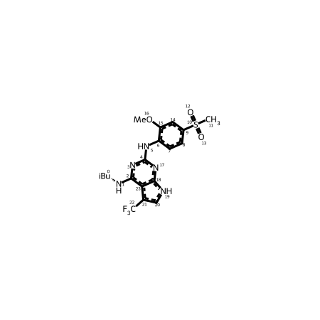 CC[C@@H](C)Nc1nc(Nc2ccc(S(C)(=O)=O)cc2OC)nc2[nH]cc(C(F)(F)F)c12